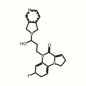 O=C1C2=CCCN2C2=CCC(F)C=C2N1CCC(O)N1Cc2ccncc2C1